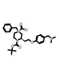 CN(C)Cc1ccc(OCC[C@@H]2C[N+](Cc3ccccc3)(C(=O)[O-])CCN2C(=O)OC(C)(C)C)cc1